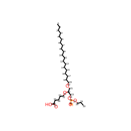 CCCCCCCCCCCCCCCCCCCCOCC(CO[PH](=O)OCCC)OCCCCC(=O)O